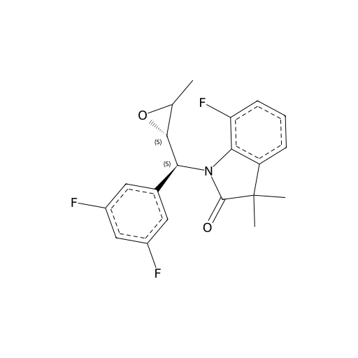 CC1O[C@H]1[C@H](c1cc(F)cc(F)c1)N1C(=O)C(C)(C)c2cccc(F)c21